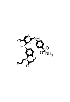 NS(=O)(=O)c1ccc(Nc2ncc(Cl)c(Nc3ccc4c(c3)N(CCF)C(=O)CO4)n2)cc1